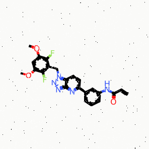 C=CC(=O)Nc1cccc(-c2ccc3c(nnn3Cc3c(F)c(OC)cc(OC)c3F)n2)c1